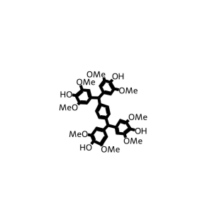 COc1cc(C(c2ccc(C(c3cc(OC)c(O)c(OC)c3)c3cc(OC)c(O)c(OC)c3)cc2)c2cc(OC)c(O)c(OC)c2)cc(OC)c1O